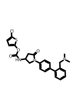 CN(C)Cc1ccccc1-c1ccc(N2CC(NC(=O)Oc3ccc(Cl)s3)CC2=O)cc1